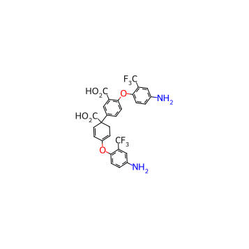 Nc1ccc(OC2=CCC(C(=O)O)(c3ccc(Oc4ccc(N)cc4C(F)(F)F)c(C(=O)O)c3)C=C2)c(C(F)(F)F)c1